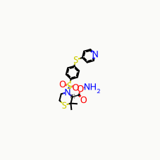 CC1(C)SCCN(S(=O)(=O)c2ccc(Sc3ccncc3)cc2)[C@H]1C(=O)ON